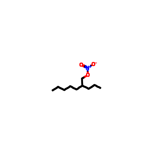 CCCCCC(CCC)CO[N+](=O)[O-]